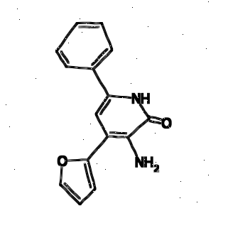 Nc1c(-c2ccco2)cc(-c2ccccc2)[nH]c1=O